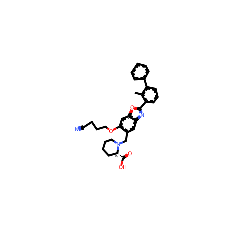 Cc1c(-c2ccccc2)cccc1-c1nc2cc(CN3CCCC[C@H]3C(=O)O)c(OCCCC#N)cc2o1